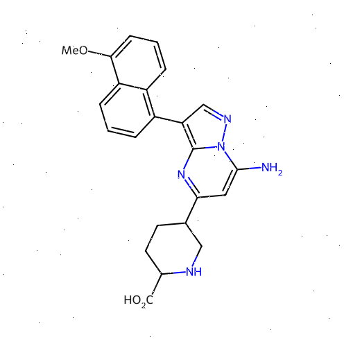 COc1cccc2c(-c3cnn4c(N)cc(C5CCC(C(=O)O)NC5)nc34)cccc12